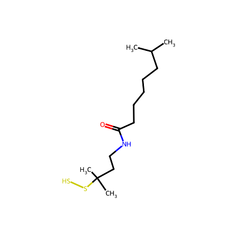 CC(C)CCCCCC(=O)NCCC(C)(C)SS